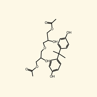 CC(=O)OCC(O)COCC(O)COC(C)=O.CC(C)(c1ccc(O)cc1)c1ccc(O)cc1